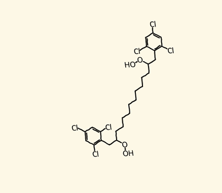 OOC(CCCCCCCCCCC(Cc1c(Cl)cc(Cl)cc1Cl)OO)Cc1c(Cl)cc(Cl)cc1Cl